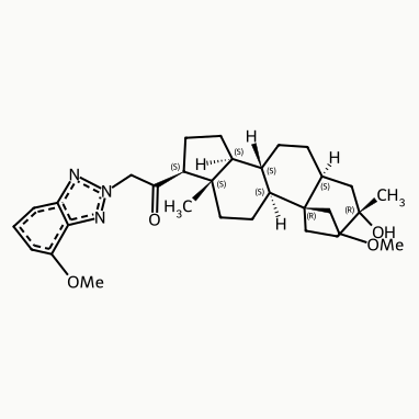 COCC[C@]12CC[C@@](C)(O)C[C@@H]1CC[C@H]1[C@@H]3CC[C@H](C(=O)Cn4nc5cccc(OC)c5n4)[C@@]3(C)CC[C@@H]12